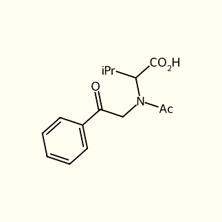 CC(=O)N(CC(=O)c1ccccc1)C(C(=O)O)C(C)C